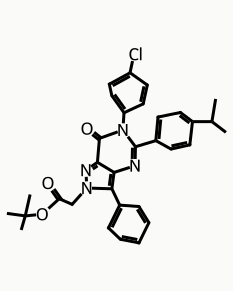 CC(C)c1ccc(-c2nc3c(-c4ccccc4)n(CC(=O)OC(C)(C)C)nc3c(=O)n2-c2ccc(Cl)cc2)cc1